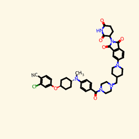 CN(c1ccc(C(=O)N2CCN(CC3CCN(c4ccc5c(c4)C(=O)N(C4CCC(=O)NC4=O)C5=O)CC3)CC2)cc1)[C@H]1CC[C@H](Oc2ccc(C#N)c(Cl)c2)CC1